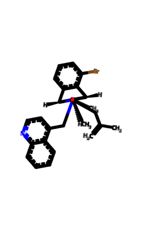 C=C(C)C[C@H]1[C@H]2c3c(Br)cccc3[C@H](CC2(C)C)N1Cc1ccnc2ccccc12